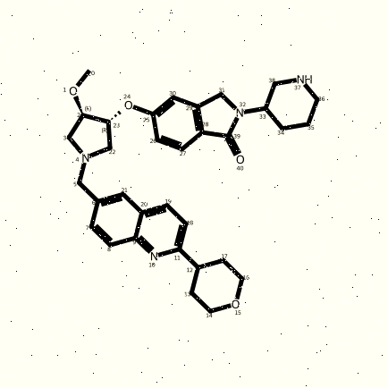 CO[C@@H]1CN(Cc2ccc3nc(C4CCOCC4)ccc3c2)C[C@H]1Oc1ccc2c(c1)CN(C1CCCNC1)C2=O